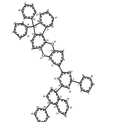 c1ccc(-c2nc(-c3ccc4c(c3)Oc3ccc5c(c3O4)-c3ccccc3C5(c3ccccc3)c3ccccc3)nc(-c3ccc(-c4ccccc4)c4ccccc34)n2)cc1